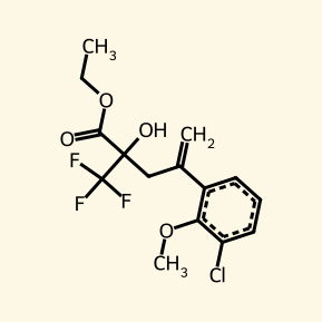 C=C(CC(O)(C(=O)OCC)C(F)(F)F)c1cccc(Cl)c1OC